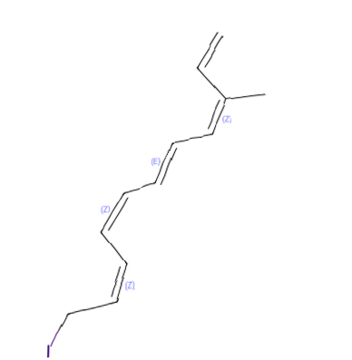 C=C\C(C)=C/C=C/C=C\C=C/CI